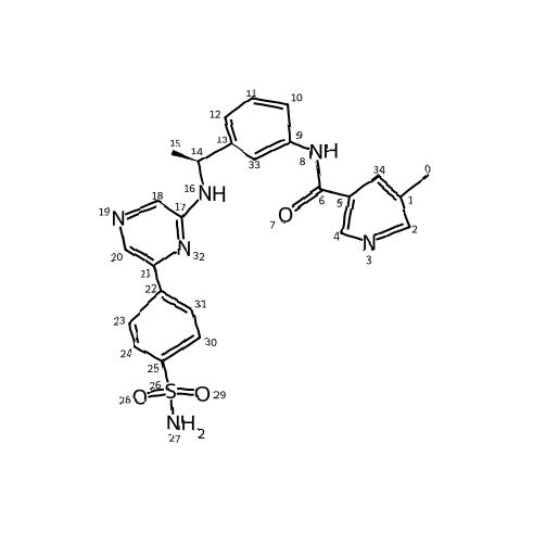 Cc1cncc(C(=O)Nc2cccc([C@H](C)Nc3cncc(-c4ccc(S(N)(=O)=O)cc4)n3)c2)c1